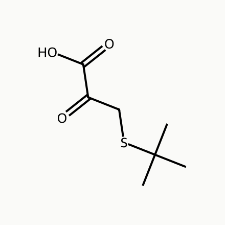 CC(C)(C)SCC(=O)C(=O)O